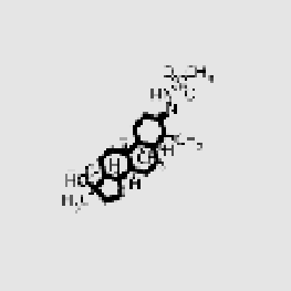 C[C@@H]1/C(=N/NS(C)(=O)=O)CC[C@]2(C)[C@H]3CC[C@@]4(C)[C@@H](CC[C@]4(C)O)[C@@H]3CC[C@@H]12